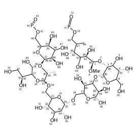 CO[C@H](O[C@@H]1C(O)[C@H](O)C(CO)O[C@@H]1OC1[C@H](O)C(CO[C@H]2OC(CO[C@@H](OC(CO)[C@@H](O)CO)[C@@H](C)O[C@H]3OC(COP=O)[C@@H](O)C(O)[C@H]3O)[C@@H](O)C(O)[C@H]2O)O[C@@H](O)[C@@H]1O)[C@H](O)C(O)[C@H](O)C(C)COP=O